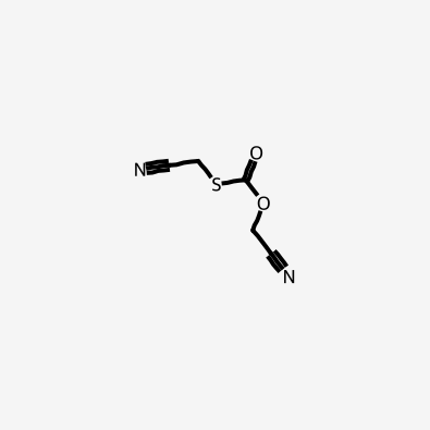 N#CCOC(=O)SCC#N